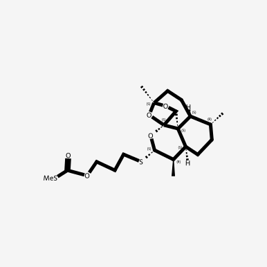 CSC(=O)OCCCS[C@@H]1O[C@@]23O[C@@]4(C)CC[C@H]5[C@H](C)CC[C@@H]([C@H]1C)[C@]52C3O4